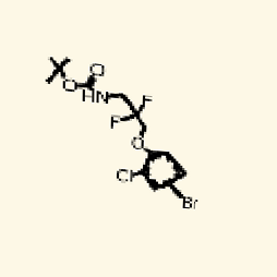 CC(C)(C)OC(=O)NCC(F)(F)COc1ccc(Br)cc1Cl